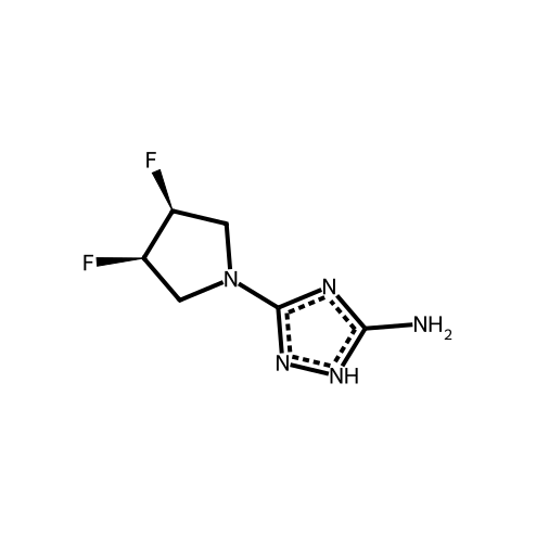 Nc1nc(N2C[C@@H](F)[C@@H](F)C2)n[nH]1